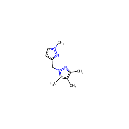 Cc1nn(Cc2ccn(C)n2)c(C)c1C